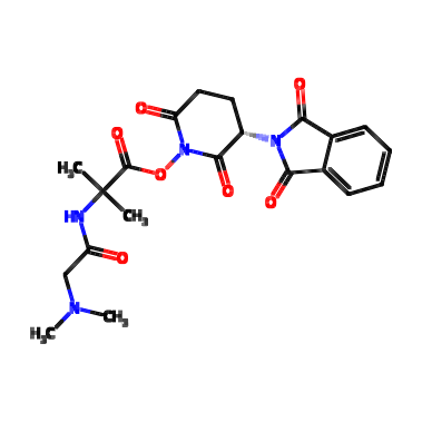 CN(C)CC(=O)NC(C)(C)C(=O)ON1C(=O)CC[C@H](N2C(=O)c3ccccc3C2=O)C1=O